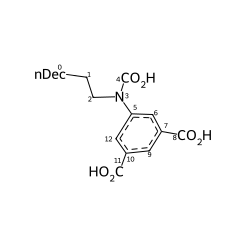 CCCCCCCCCCCCN(C(=O)O)c1cc(C(=O)O)cc(C(=O)O)c1